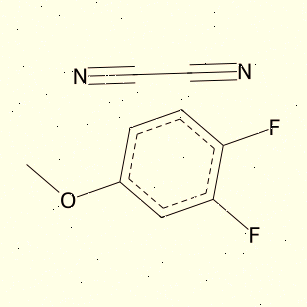 COc1ccc(F)c(F)c1.N#CC#N